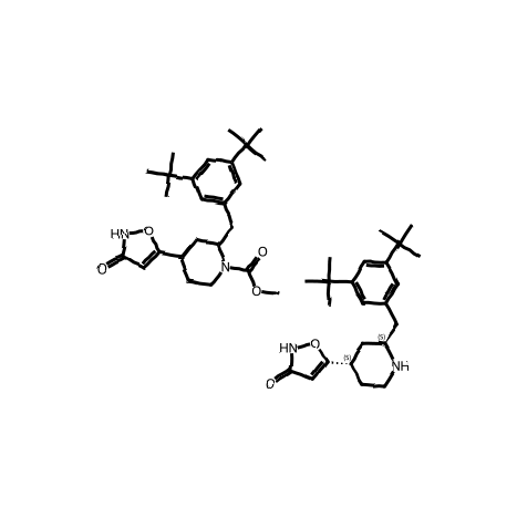 CC(C)(C)c1cc(C[C@@H]2C[C@@H](c3cc(=O)[nH]o3)CCN2)cc(C(C)(C)C)c1.COC(=O)N1CCC(c2cc(=O)[nH]o2)CC1Cc1cc(C(C)(C)C)cc(C(C)(C)C)c1